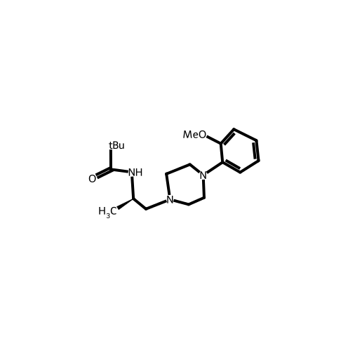 COc1ccccc1N1CCN(C[C@@H](C)NC(=O)C(C)(C)C)CC1